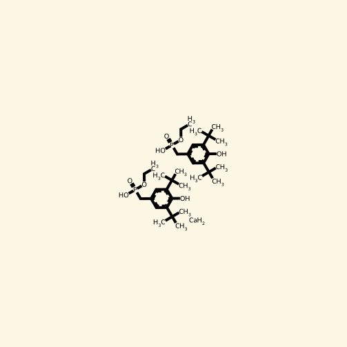 CCOP(=O)(O)Cc1cc(C(C)(C)C)c(O)c(C(C)(C)C)c1.CCOP(=O)(O)Cc1cc(C(C)(C)C)c(O)c(C(C)(C)C)c1.[CaH2]